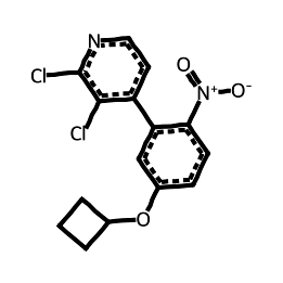 O=[N+]([O-])c1ccc(OC2CCC2)cc1-c1ccnc(Cl)c1Cl